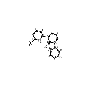 Cc1cccc(-c2cccc3c2oc2ccccc23)n1